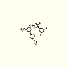 [2H]c1nc(Nc2cc(C)cc(N3CCN(C4COC4)CC3)c2)nn1-c1cc(F)cc(F)c1